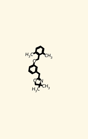 Cc1cccc(C)c1COc1cccc(CC2=NC(C)(C)CO2)c1